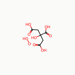 O=C(O)CC(O)(CC(=O)O)C(=O)O.[O]O